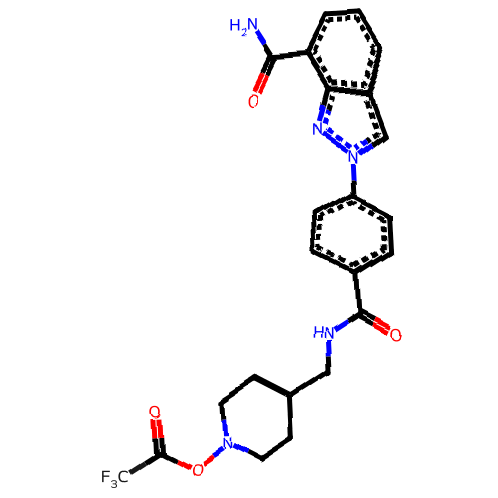 NC(=O)c1cccc2cn(-c3ccc(C(=O)NCC4CCN(OC(=O)C(F)(F)F)CC4)cc3)nc12